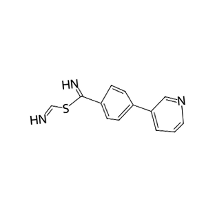 N=CSC(=N)c1ccc(-c2cccnc2)cc1